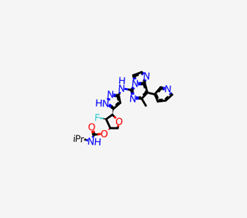 Cc1nc(Nc2cc([C@@H]3OC[C@H](OC(=O)NC(C)C)[C@H]3F)[nH]n2)n2ccnc2c1-c1cccnc1